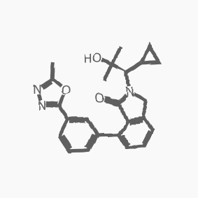 Cc1nnc(-c2cccc(-c3cccc4c3C(=O)N([C@H](C3CC3)C(C)(C)O)C4)c2)o1